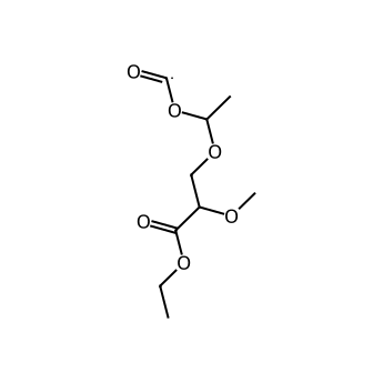 CCOC(=O)C(COC(C)O[C]=O)OC